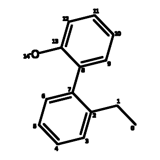 CCc1ccccc1-c1ccccc1[O]